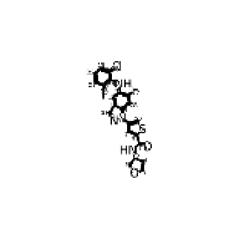 O=C(N[C@@H]1CCOC1)c1cc(-n2ncc3cc(Nc4c(F)cccc4Cl)c(F)cc32)cs1